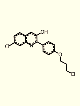 Oc1cc2ccc(Cl)cc2nc1-c1ccc(OCCCCl)cc1